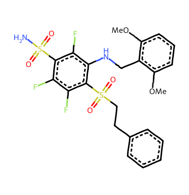 COc1cccc(OC)c1CNc1c(F)c(S(N)(=O)=O)c(F)c(F)c1S(=O)(=O)CCc1ccccc1